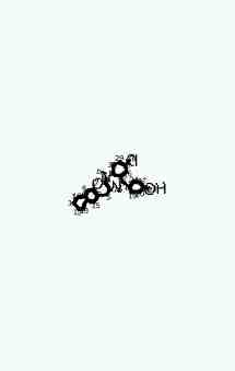 CN1C(=O)C(Cc2ccc3ccccc3c2)N=C(c2ccc(O)cc2)C2=CC(Cl)=CCC21